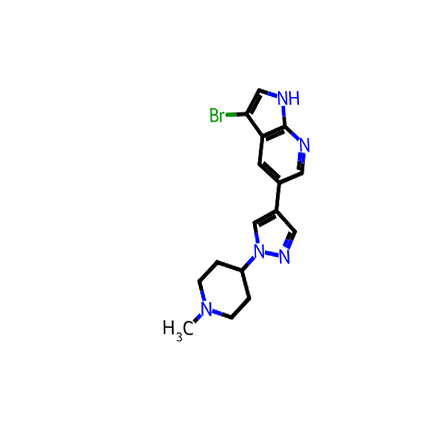 CN1CCC(n2cc(-c3cnc4[nH]cc(Br)c4c3)cn2)CC1